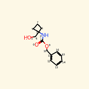 O=C(NC1(CO)CCC1)OCc1ccccc1